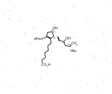 CCCCCC1=C(CCCCCCC(=O)O)[C@@H](C=C[C@@H](O)C[C@H](C)CCCC)[C@H](O)C1